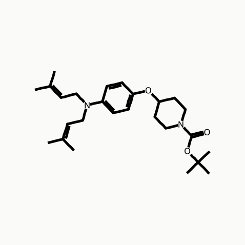 CC(C)=CCN(CC=C(C)C)c1ccc(OC2CCN(C(=O)OC(C)(C)C)CC2)cc1